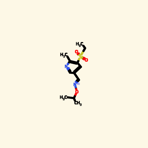 CCS(=O)(=O)c1cc(/C=N/OC(C)C)cnc1C